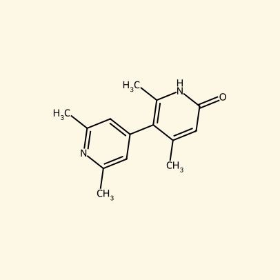 Cc1cc(-c2c(C)cc(=O)[nH]c2C)cc(C)n1